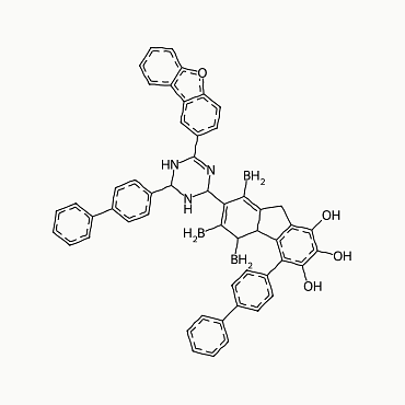 BC1=C2Cc3c(O)c(O)c(O)c(-c4ccc(-c5ccccc5)cc4)c3C2C(B)C(B)=C1C1N=C(c2ccc3oc4ccccc4c3c2)NC(c2ccc(-c3ccccc3)cc2)N1